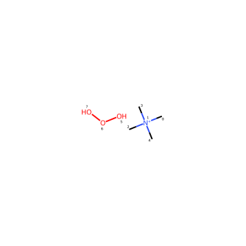 C[N+](C)(C)C.OOO